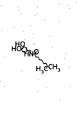 CC(C)/C=C/CCCCC(=O)NCc1ccc(O)c(O)c1